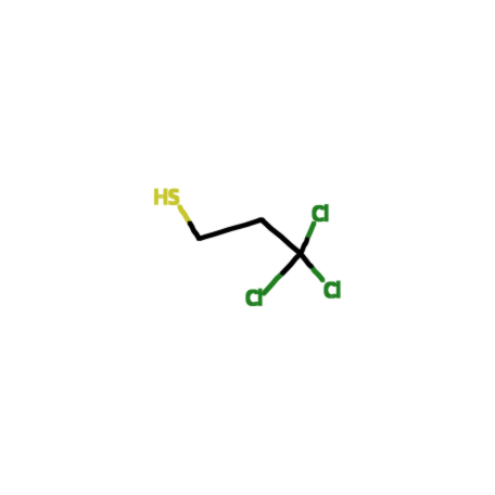 SCCC(Cl)(Cl)Cl